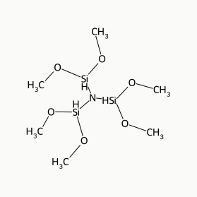 CO[SiH](OC)N([SiH](OC)OC)[SiH](OC)OC